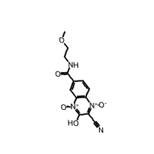 COCCNC(=O)c1ccc2c(c1)[n+]([O-])c(O)c(C#N)[n+]2[O-]